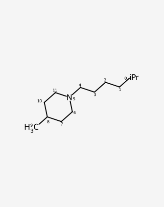 CC(C)CCCCN1CCC(C)CC1